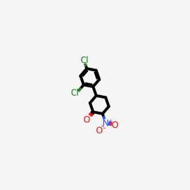 O=C1CC(c2ccc(Cl)cc2Cl)CCC1[N+](=O)[O-]